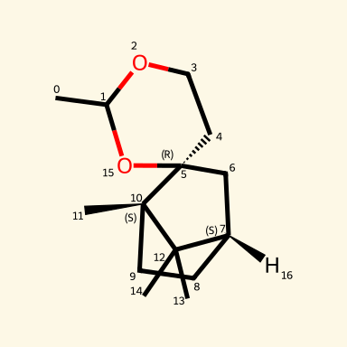 CC1OCC[C@@]2(C[C@@H]3CC[C@@]2(C)C3(C)C)O1